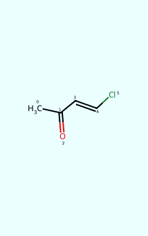 CC(=O)/C=C/Cl